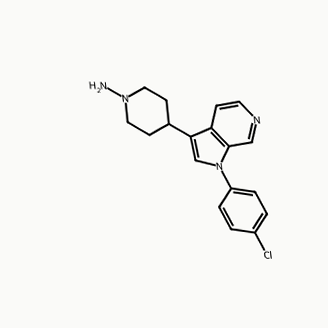 NN1CCC(c2cn(-c3ccc(Cl)cc3)c3cnccc23)CC1